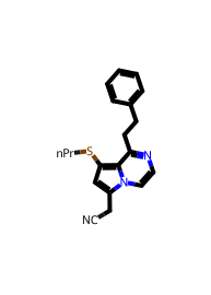 CCCSc1cc(CC#N)n2ccnc(CCc3ccccc3)c12